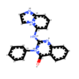 O=c1c2ccccc2nc(Nc2cccc3nccn23)n1-c1ccccc1